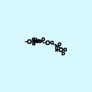 COc1cc2ncn(CCOc3ccc(CC(=O)NCC(C)NS(=O)(=O)c4ccc(C)cc4)cc3)c(=O)c2cc1OC